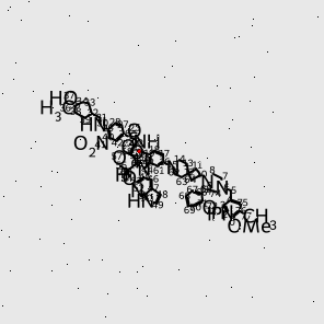 COc1ncc(CN2CCN(C3CC4(CCN(c5ccc(C(=O)NS(=O)(=O)c6ccc(NCC7CCC(C)(O)CC7)c([N+](=O)[O-])c6)c(N6c7cc8cc[nH]c8nc7O[C@H]7COCC[C@@H]76)c5)CC4)C3)[C@@H](c3ccccc3OC(C)C)C2)cc1C